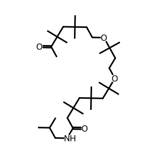 CC(=O)C(C)(C)CC(C)(C)CCOC(C)(C)CCOC(C)(C)CC(C)(C)CC(C)(C)CC(=O)NCC(C)C